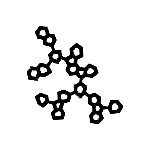 c1ccc(-n2c3ccccc3c3cc(-c4nc(-c5ccc6c(c5)c5ccccc5n6-c5ccccc5)nc(-n5c6ccccc6c6c7c8ccccc8n(-c8nc(-c9ccc%10nccnc%10c9)cc(-c9ccc%10nccnc%10c9)n8)c7ccc65)n4)ccc32)cc1